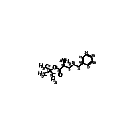 CC(C)(C)OC(=O)C(N)CCCc1ccccc1